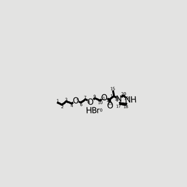 Br.CCCCOCCOCCOC(=O)C(C)N1C=CNC1